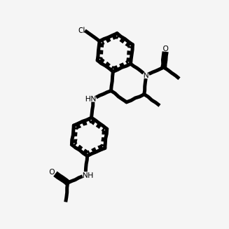 CC(=O)Nc1ccc(NC2CC(C)N(C(C)=O)c3ccc(Cl)cc32)cc1